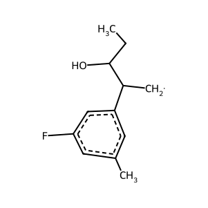 [CH2]C(c1cc(C)cc(F)c1)C(O)CC